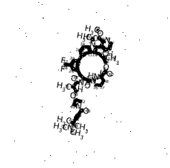 CCn1c(-c2cccnc2[C@H](C)OC)c2c3cc(ccc31)-c1cc(cc(C(F)F)c1)C[C@H](NC(=O)C(C)COC1CN(C(=O)C#CC(C)(C)N(C)C)C1)C(=O)N1CCC[C@H](N1)C(=O)OCC(C)(C)C2